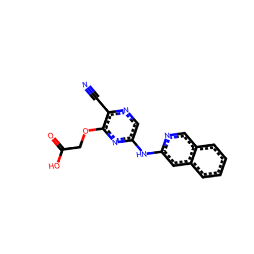 N#Cc1ncc(Nc2cc3ccccc3cn2)nc1OCC(=O)O